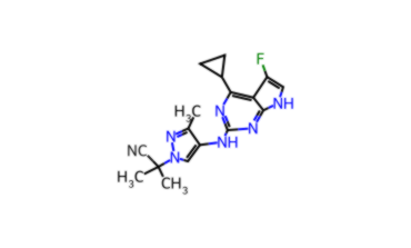 Cc1nn(C(C)(C)C#N)cc1Nc1nc(C2CC2)c2c(F)c[nH]c2n1